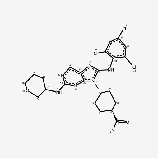 NC(=O)[C@H]1CC[C@H](n2c(Nc3c(Cl)cc(Cl)cc3Cl)nc3cnc(N[C@@H]4CCCOC4)nc32)CC1